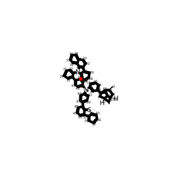 C[C@H]1C[C@H]2C[C@H]3CC(c4cccc(N(c5ccc(-c6ccccc6-n6c7ccccc7c7ccc8ccccc8c76)cc5)c5ccc(-c6cccc7c6sc6ccccc67)cc5)c4)(CC23)C1